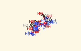 N=C(N)NCCC[C@H](NC(=O)[C@H](CO)NC(=O)CNC(=O)CNC(=O)[C@H](Cc1ccc(O)cc1)NC(=O)CNC(=O)CNC(=O)[C@H](CO)NC(=O)[C@H](CCCNC(=N)N)NC(=O)[C@H](CO)NC(=O)[C@H](CCC(=O)O)NC(=O)[C@@H](N)Cc1ccccc1)C(=O)N[C@@H](CC(=O)O)C(=O)N[C@@H](Cc1ccc(O)cc1)C(=O)N[C@@H](Cc1ccc(O)cc1)C(=O)O